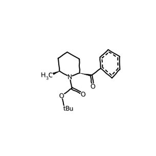 C[C@H]1CCC[C@@H](C(=O)c2ccccc2)N1C(=O)OC(C)(C)C